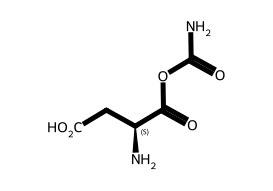 NC(=O)OC(=O)[C@@H](N)CC(=O)O